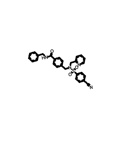 N#Cc1ccc(S(=O)(=O)N(Cc2ccc(C(=O)NCc3ccccc3)cc2)Cc2ccccn2)cc1